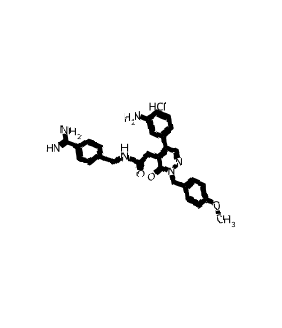 COc1ccc(Cn2ncc(-c3cccc(N)c3)c(CC(=O)NCc3ccc(C(=N)N)cc3)c2=O)cc1.Cl